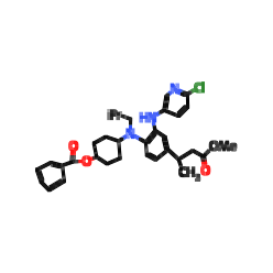 COC(=O)CC(C)c1ccc(N(CC(C)C)C2CCC(OC(=O)c3ccccc3)CC2)c(Nc2ccc(Cl)nc2)c1